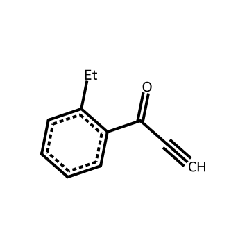 C#CC(=O)c1ccccc1CC